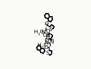 CN(C)C(C[C@H](Oc1cccc2ccccc12)c1cccs1)OC(=O)/C=C\C(=O)OC(C[C@H](Oc1cccc2ccccc12)c1cccs1)N(C)C